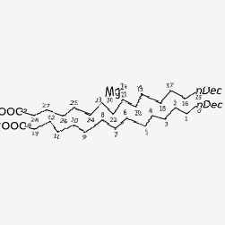 CCCCCCCCCCCCCCCCCCCCCCCC(=O)[O-].CCCCCCCCCCCCCCCCCCCCCCCC(=O)[O-].[Mg+2]